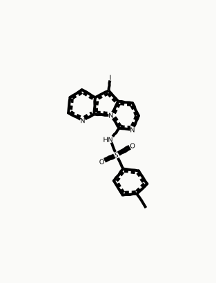 Cc1ccc(S(=O)(=O)Nc2nccc3c(I)c4cccnc4n23)cc1